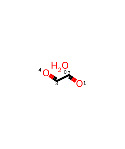 O.O=CC=O